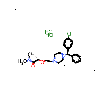 CN(C)C(=O)COCCN1CCN(C(c2ccccc2)c2ccc(Cl)cc2)CC1.Cl.Cl